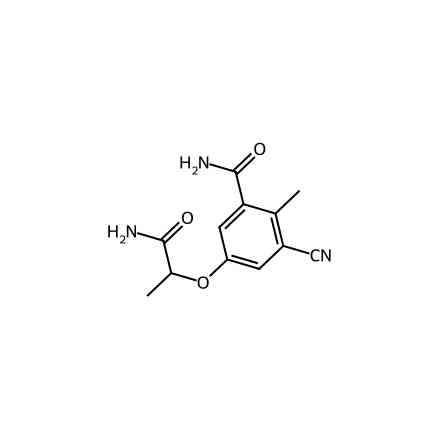 Cc1c(C#N)cc(OC(C)C(N)=O)cc1C(N)=O